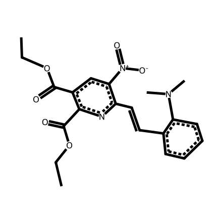 CCOC(=O)c1cc([N+](=O)[O-])c(C=Cc2ccccc2N(C)C)nc1C(=O)OCC